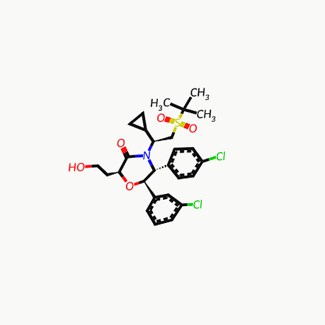 CC(C)(C)S(=O)(=O)C[C@H](C1CC1)N1C(=O)[C@H](CCO)O[C@H](c2cccc(Cl)c2)[C@H]1c1ccc(Cl)cc1